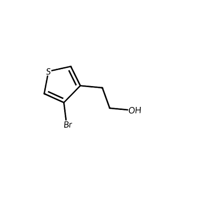 OCCc1cscc1Br